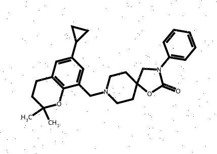 CC1(C)CCc2cc(C3CC3)cc(CN3CCC4(CC3)CN(c3ccccc3)C(=O)O4)c2O1